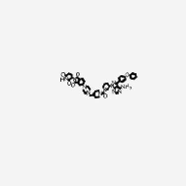 Nc1ncnc2c1c(-c1ccc(Oc3ccccc3)cc1)nn2C1CCCN(C(=O)N2CCC(CN3CCN(c4ccc5c(c4)C(=O)N(C4CCC(=O)NC4=O)C5=O)CC3)CC2)C1